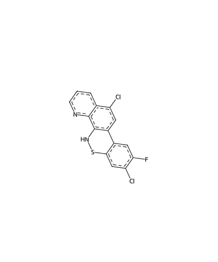 Fc1cc2c(cc1Cl)SNc1c-2cc(Cl)c2cccnc12